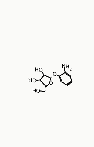 Nc1ccccc1O[C@@H]1O[C@H](CO)[C@@H](O)[C@H]1O